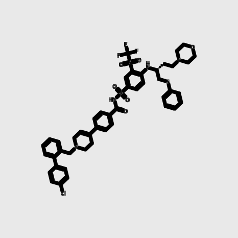 O=C(NS(=O)(=O)c1ccc(N[C@H](CCN2CCOCC2)CSc2ccccc2)c(S(=O)(=O)C(F)(F)F)c1)c1ccc(C2=CCN(Cc3ccccc3-c3ccc(Cl)cc3)CC2)cc1